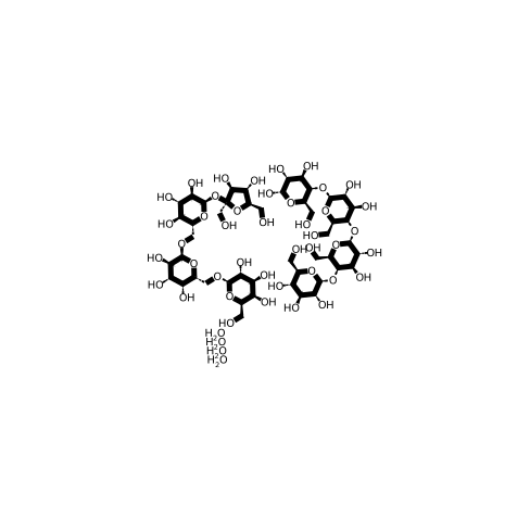 O.O.O.O.OC[C@H]1O[C@H](OC[C@H]2O[C@H](OC[C@H]3O[C@H](O[C@]4(CO)O[C@H](CO)[C@@H](O)[C@@H]4O)[C@H](O)[C@@H](O)[C@@H]3O)[C@H](O)[C@@H](O)[C@H]2O)[C@H](O)[C@@H](O)[C@H]1O.OC[C@H]1O[C@H](O[C@H]2[C@H](O)[C@@H](O)[C@@H](O[C@H]3[C@H](O)[C@@H](O)[C@@H](O[C@H]4[C@H](O)[C@@H](O)[C@@H](O)O[C@@H]4CO)O[C@@H]3CO)O[C@@H]2CO)[C@H](O)[C@@H](O)[C@@H]1O